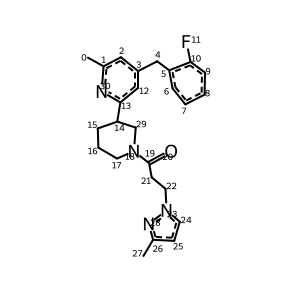 Cc1cc(Cc2ccccc2F)cc(C2CCCN(C(=O)CCn3ccc(C)n3)C2)n1